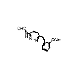 COc1ccccc1Cc1ccc(NC=O)nn1